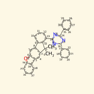 CC1(C)c2cc3c(cc2-c2cccc(-c4nc(-c5ccccc5)nc(-c5ccccc5)n4)c21)oc1ccccc13